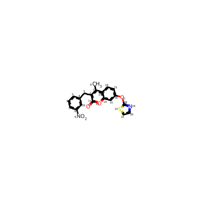 Cc1c(Cc2cccc([N+](=O)[O-])c2)c(=O)oc2cc(Oc3nccs3)ccc12